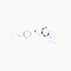 CN(C)Nc1cc(NC(=O)[C@H]2CC[C@H](CN)CC2)ccn1